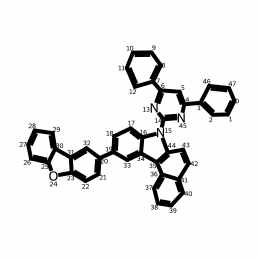 c1ccc(-c2cc(-c3ccccc3)nc(-n3c4ccc(-c5ccc6oc7ccccc7c6c5)cc4c4c5ccccc5ccc43)n2)cc1